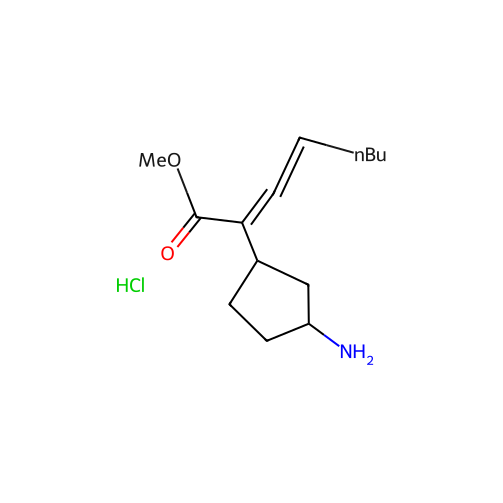 CCCCC=C=C(C(=O)OC)C1CCC(N)C1.Cl